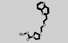 CC(C)(C)OC(=O)N1CC[C@@H](CCOCCc2ccc3ncccc3n2)C1